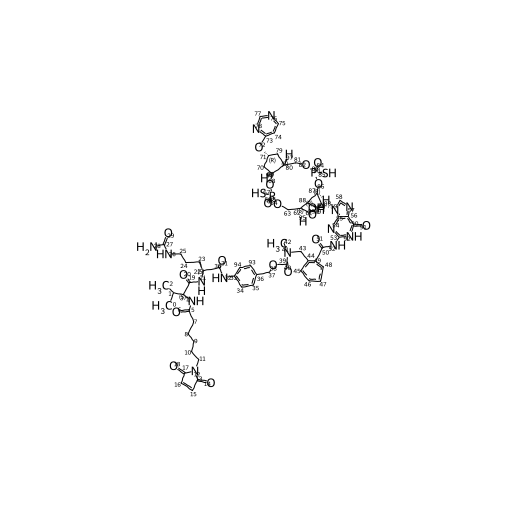 CC(C)[C@H](NC(=O)CCCCCN1C(=O)C=CC1=O)C(=O)N[C@@H](CCCNC(N)=O)C(=O)Nc1ccc(COC(=O)N(C)Cc2ccccc2C(=O)Nc2nc3c(ncn3[C@@H]3O[C@H]4CO[P@@](=O)(S)O[C@H]5C[C@H](Oc6ccncn6)C[C@@H]5CO[P@@](=O)(S)O[C@@H]3[C@@H]4O)c(=O)[nH]2)cc1